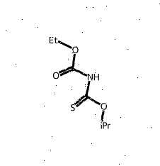 CCOC(=O)NC(=S)OC(C)C